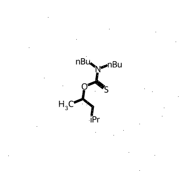 CCCCN(CCCC)C(=S)OC(C)CC(C)C